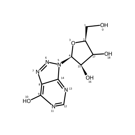 OC[C@@H]1O[C@H](n2nnc3c(O)ncnc32)[C@H](O)C1O